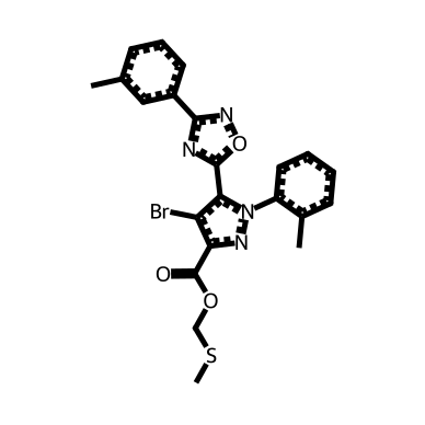 CSCOC(=O)c1nn(-c2ccccc2C)c(-c2nc(-c3cccc(C)c3)no2)c1Br